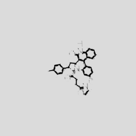 Cc1ccc(C2CC(c3c(-c4ccc(Cl)cc4)c4ccccc4[nH]c3=O)=NN2C(=O)CCc2ncco2)cc1